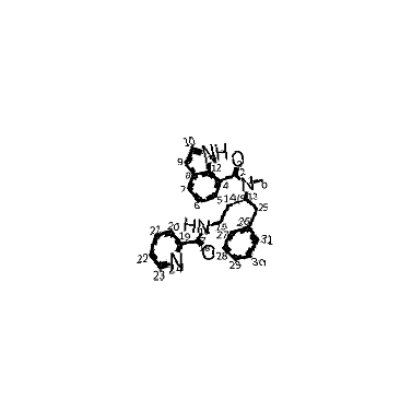 CN(C(=O)c1cccc2cc[nH]c12)[C@H](CCNC(=O)c1ccccn1)Cc1ccccc1